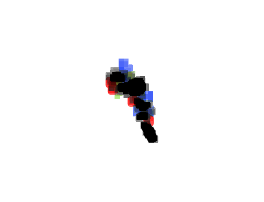 CC#CCOc1cnc(C(=O)Nc2ccc(F)c([C@@]3(C)N=C(N)C(C)(C)S(=O)(=O)C3F)c2)cn1